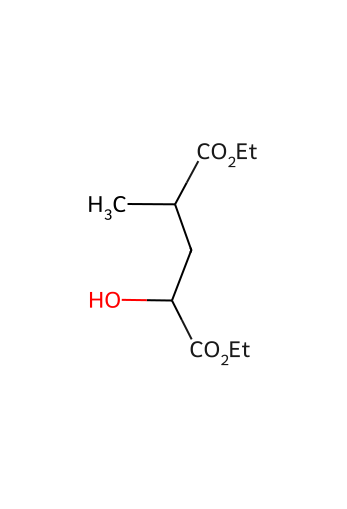 CCOC(=O)C(C)CC(O)C(=O)OCC